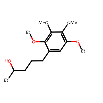 CCOc1cc(CCCC(O)CC)c(OCC)c(OC)c1OC